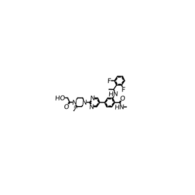 CNC(=O)c1ccc(-c2cnc(N3CCN(C(=O)CO)[C@H](C)C3)nc2)cc1NC(C)c1c(F)cccc1F